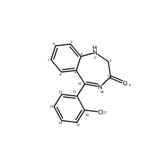 O=C1CNc2ccccc2C(c2ccccc2Cl)=N1